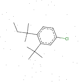 CCC(C)(C)c1ccc(Cl)cc1C(C)(C)C